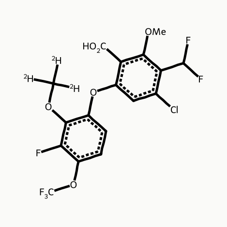 [2H]C([2H])([2H])Oc1c(Oc2cc(Cl)c(C(F)F)c(OC)c2C(=O)O)ccc(OC(F)(F)F)c1F